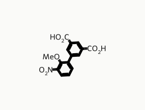 COc1c(-c2cc(C(=O)O)cc(C(=O)O)c2)cccc1[N+](=O)[O-]